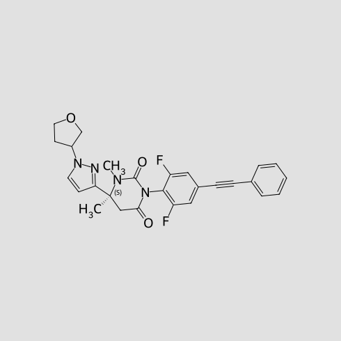 CN1C(=O)N(c2c(F)cc(C#Cc3ccccc3)cc2F)C(=O)C[C@@]1(C)c1ccn(C2CCOC2)n1